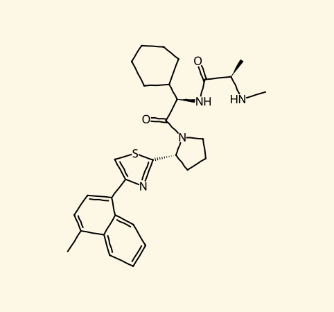 CN[C@H](C)C(=O)N[C@@H](C(=O)N1CCC[C@@H]1c1nc(-c2ccc(C)c3ccccc23)cs1)C1CCCCC1